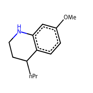 CCCC1CCNc2cc(OC)ccc21